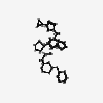 O=C(N[C@@H]1CCCN(Cc2ccncc2)C1)[C@@H]1CCCN1c1nc(Nc2cc(C3CC3)[nH]n2)n2cccc2n1